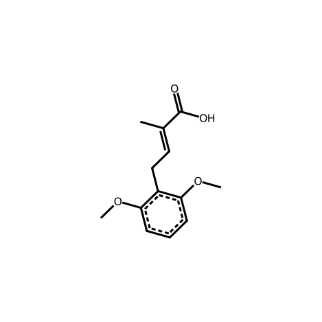 COc1cccc(OC)c1C/C=C(\C)C(=O)O